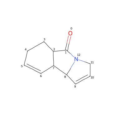 O=C1C2CCC=CC2C2C=CCN12